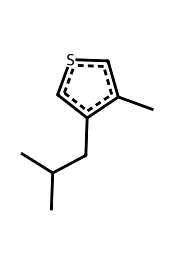 Cc1cscc1CC(C)C